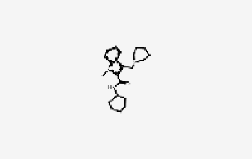 Cn1c(C(=O)NC2CCCCC2)c(CN2CCCCC2)c2ccccc21